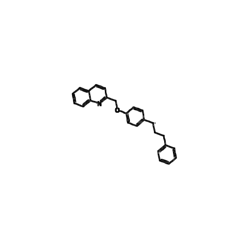 [CH](CCc1ccccc1)c1ccc(OCc2ccc3ccccc3n2)cc1